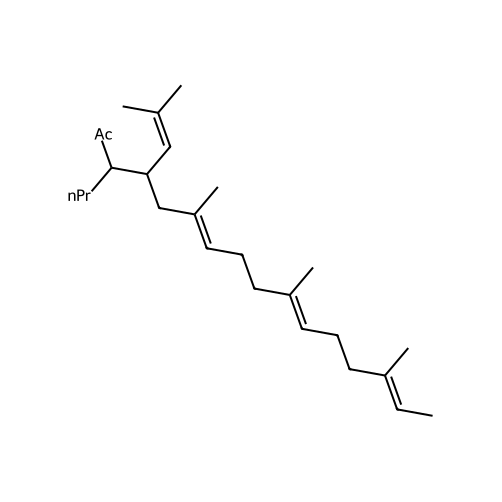 C/C=C(\C)CC/C=C(\C)CC/C=C(\C)CC(C=C(C)C)C(CCC)C(C)=O